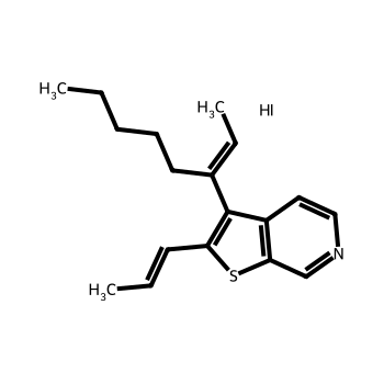 CC=Cc1sc2cnccc2c1C(=CC)CCCCC.I